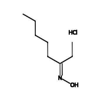 CCCCC/C(CC)=N/O.Cl